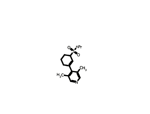 CCCS(=O)(=O)C1C=C(c2c(C)cncc2C)CCC1